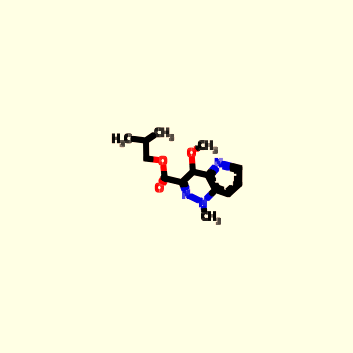 COC1C(C(=O)OCC(C)C)=NN(C)c2cccnc21